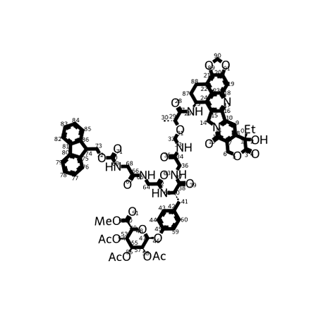 CC[C@@]1(O)C(=O)OCc2c1cc1n(c2=O)Cc2c-1nc1cc3c(c4c1c2[C@@H](NC(=O)[C@@H](C)OCNC(=O)CNC(=O)[C@H](Cc1ccc(O[C@@H]2O[C@H](C(=O)OC)[C@@H](OC(C)=O)[C@H](OC(C)=O)[C@H]2OC(C)=O)cc1)NC(=O)CNC(=O)CNC(=O)OCC1c2ccccc2-c2ccccc21)CC4)OCO3